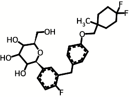 CC1(COc2ccc(Cc3cc([C@@H]4O[C@H](CO)C(O)C(O)C4O)ccc3F)cc2)CCC(F)(F)CC1